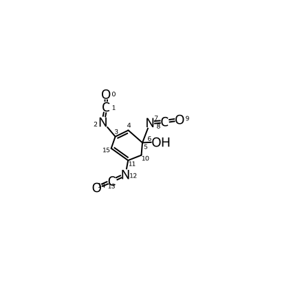 O=C=NC1=CC(O)(N=C=O)CC(N=C=O)=C1